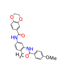 COc1ccc(C(=O)Nc2cc(NC(=O)c3ccc4c(c3)OCCO4)ccc2C)cc1